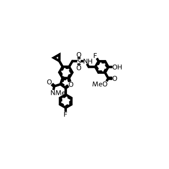 CNC(=O)c1c(-c2ccc(F)cc2)oc2cc(CS(=O)(=O)NCc3cc(C(=O)OC)c(O)cc3F)c(C3CC3)cc12